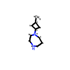 CC1CC(N2CCCNCC2)C1